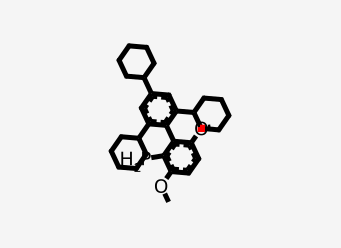 COc1ccc(OC)c(-c2c(C3CCCCC3)cc(C3CCCCC3)cc2C2CCCCC2)c1P